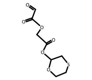 O=CC(=O)OCC(=O)OC1CSCCO1